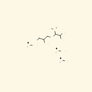 CC(C)C(OCC(O)CO)[N+](=O)[O-].O=[N+]([O-])O.O=[N+]([O-])O.O=[N+]([O-])O